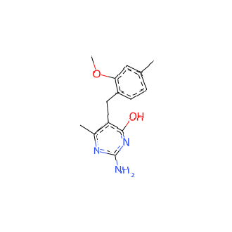 COc1cc(C)ccc1Cc1c(C)nc(N)nc1O